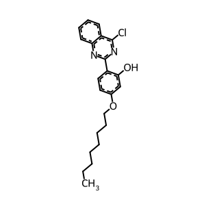 CCCCCCCCOc1ccc(-c2nc(Cl)c3ccccc3n2)c(O)c1